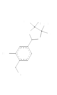 Cc1cc(C2OC(C)(C)C(C)(C)O2)ccc1CBr